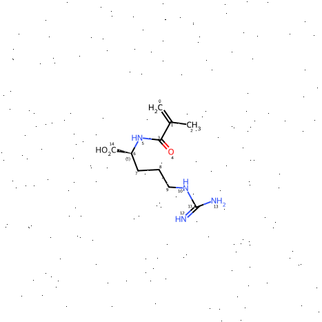 C=C(C)C(=O)N[C@@H](CCCNC(=N)N)C(=O)O